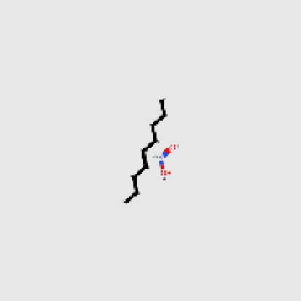 CCCCCCCCC.O=NO